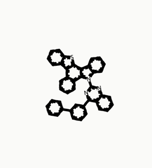 c1ccc(-c2cccc(-c3nc(-n4c5ccccc5c5c6sc7ccccc7c6c6ccccc6c54)nc4ccccc34)c2)cc1